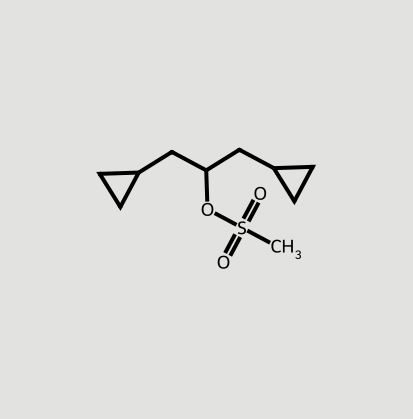 CS(=O)(=O)OC(CC1CC1)CC1CC1